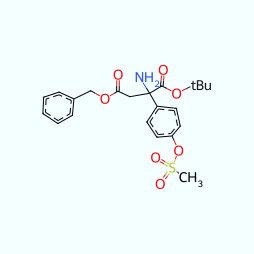 CC(C)(C)OC(=O)C(N)(CC(=O)OCc1ccccc1)c1ccc(OS(C)(=O)=O)cc1